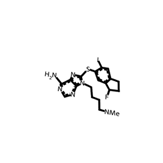 CNCCCCn1c(Sc2cc3c(cc2I)CCC3F)nc2c(N)ncnc21